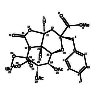 COC(=O)[C@@]1(Sc2ccc(C)cc2)C[C@@H]2OC(=O)N(C(=O)OC(C)(C)C)[C@H]2[C@H]([C@H](OC(C)=O)[C@@H](COC(C)=O)OC(C)=O)O1